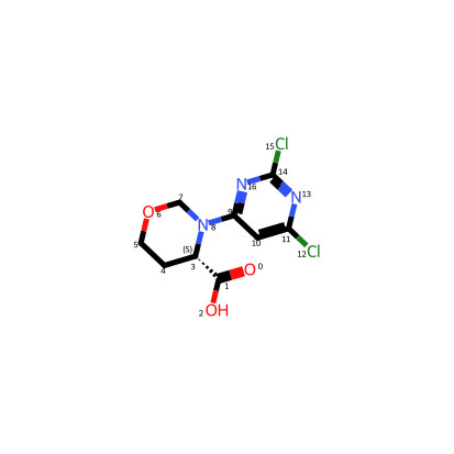 O=C(O)[C@@H]1CCOCN1c1cc(Cl)nc(Cl)n1